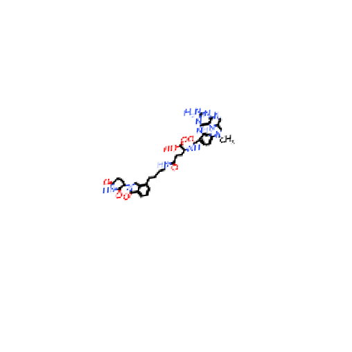 CN(Cc1cnc2nc(N)nc(N)c2n1)c1ccc(C(=O)NC(CCC(=O)NCCCCc2cccc3c2CN(C2CCC(=O)NC2=O)C3=O)C(=O)O)cc1